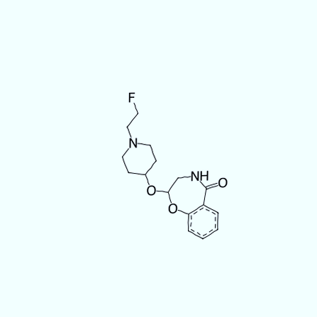 O=C1NCC(OC2CCN(CCF)CC2)Oc2ccccc21